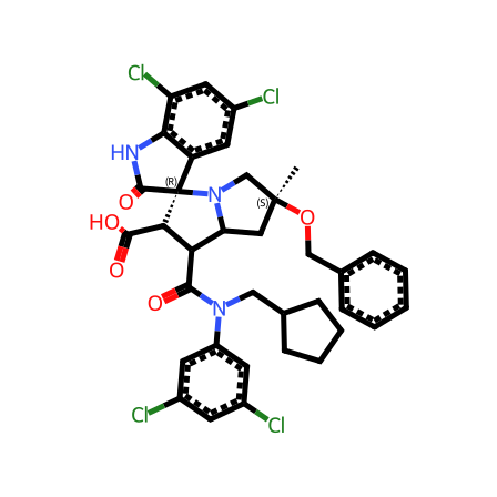 C[C@]1(OCc2ccccc2)CC2C(C(=O)N(CC3CCCC3)c3cc(Cl)cc(Cl)c3)C(C(=O)O)[C@@]3(C(=O)Nc4c(Cl)cc(Cl)cc43)N2C1